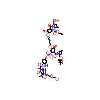 C=CCOC(=O)Nc1cc(OCCCCCOc2cc(NC(=O)OCc3ccc(NC(=O)[C@H](C)NC(=O)[C@@H](NC(=O)CCOCCOC)C(C)C)cc3)c(C(=O)N3C=C(C)C[C@H]3CO[Si](C)(C)C(C)(C)C)cc2OC)c(OC)cc1C(=O)N1C=C(C)C[C@H]1CO